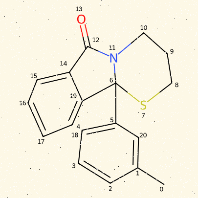 Cc1cccc(C23SCCCN2C(=O)c2ccccc23)c1